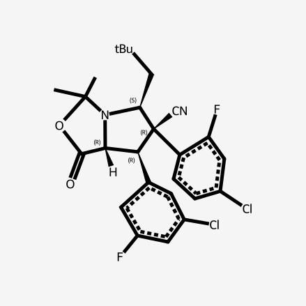 CC(C)(C)C[C@@H]1N2[C@@H](C(=O)OC2(C)C)[C@H](c2cc(F)cc(Cl)c2)[C@@]1(C#N)c1ccc(Cl)cc1F